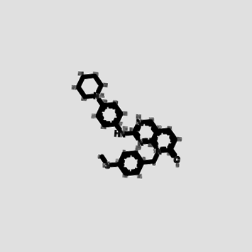 CSc1ccc(Cn2c(=O)ccc3cnc(Nc4ccc(N5CCCCC5)cc4)nc32)cc1